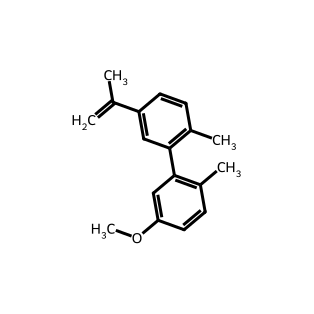 C=C(C)c1ccc(C)c(-c2cc(OC)ccc2C)c1